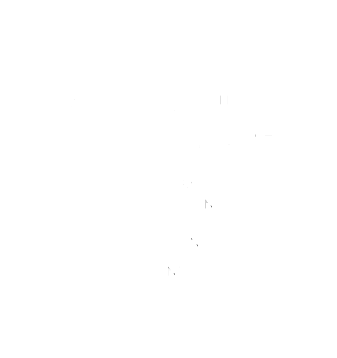 CC.CCCCC(=O)ON=[N+]=[N-]